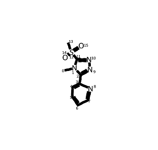 Cn1c(-c2ccccn2)nnc1S(C)(=O)=O